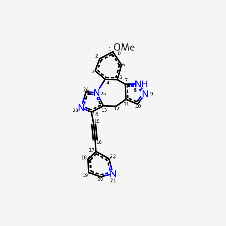 COc1ccc2c(c1)-c1[nH]ncc1Cc1c(C#Cc3cccnc3)ncn1-2